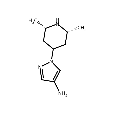 C[C@@H]1CC(n2cc(N)cn2)C[C@H](C)N1